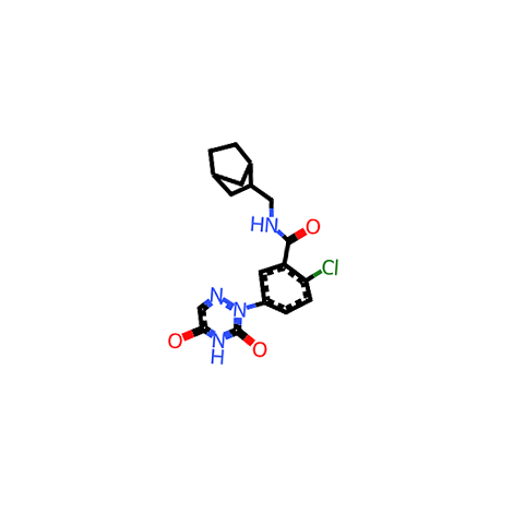 O=C(NCC1CC2CCC1C2)c1cc(-n2ncc(=O)[nH]c2=O)ccc1Cl